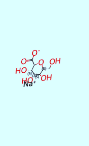 O=C([O-])C1O[C@H](CO)[C@@H](O)[C@H](O)[C@@H]1O.[Na+]